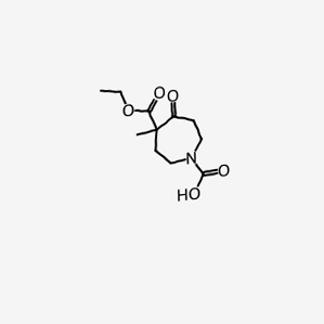 CCOC(=O)C1(C)CCN(C(=O)O)CCC1=O